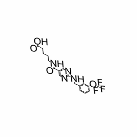 O=C(O)CCCCNC(=O)c1cnc(NCc2cccc(OC(F)(F)F)c2)nc1